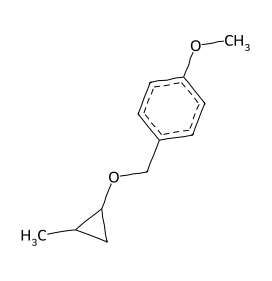 COc1ccc(COC2CC2C)cc1